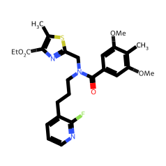 CCOC(=O)c1nc(CN(CCCc2cccnc2F)C(=O)c2cc(OC)c(C)c(OC)c2)sc1C